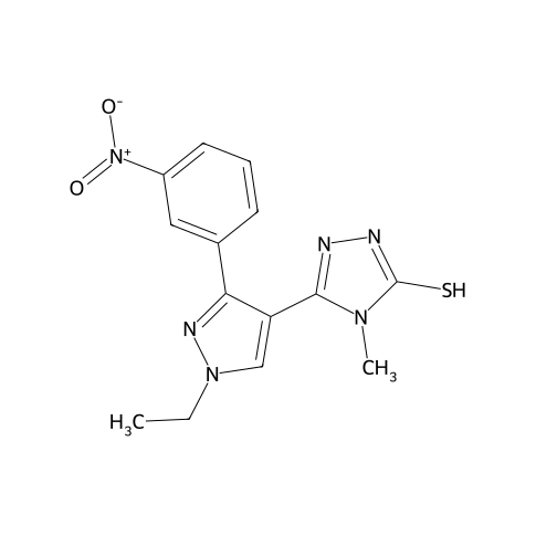 CCn1cc(-c2nnc(S)n2C)c(-c2cccc([N+](=O)[O-])c2)n1